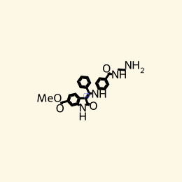 COC(=O)c1ccc2c(c1)NC(=O)/C2=C(\Nc1ccc(C(=O)NCCN)cc1)c1ccccc1